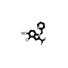 N#Cc1ccc2c(cc(C(F)F)n2Cc2ccccn2)c1Cl